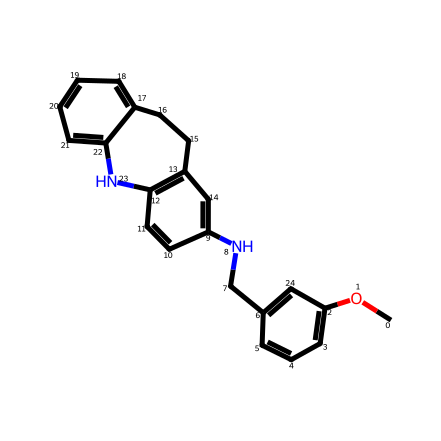 COc1cccc(CNc2ccc3c(c2)CCc2ccccc2N3)c1